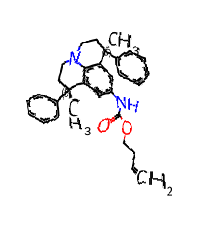 C=CCCOC(=O)Nc1cc2c3c(c1)[C@](C)(c1ccccc1)CCN3CC[C@@]2(C)c1ccccc1